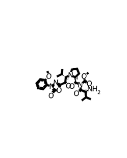 COC(=O)N(C(=O)[C@@H](N)C(C)C)C(=O)[C@@H]1CCCN1[C@H](C(=O)c1nn(-c2ccccc2OC)c(=O)o1)C(C)C